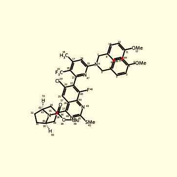 COc1ccc(CN(Cc2ccc(OC)cc2)c2cc(C)c(C(F)(F)F)c(-c3c(Cl)cc4c(N5C[C@H]6CC[C@@H](C5)N6C(=O)OC(C)(C)C)nc(SC)nc4c3F)n2)cc1